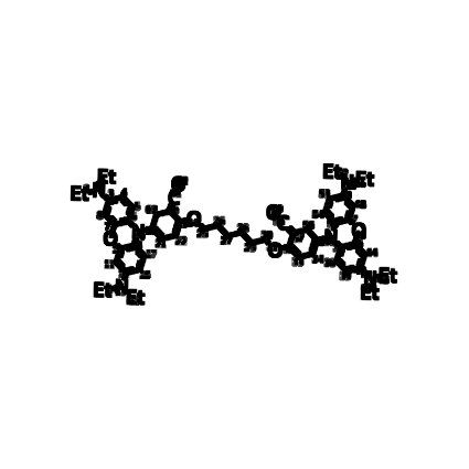 CCN(CC)c1ccc2c(c1)Oc1cc(N(CC)CC)ccc1N2C1=CC=C(OCCCCCCOC2=CC=C(N3c4ccc(N(CC)CC)cc4Oc4cc(N(CC)CC)ccc43)CC2=C=O)C(=C=O)C1